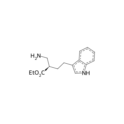 CCOC(=O)[C@@H](CN)CCc1c[nH]c2ccccc12